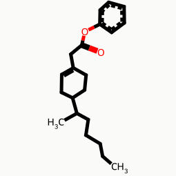 CCCCCC(C)C1CC=C(CC(=O)Oc2ccccc2)CC1